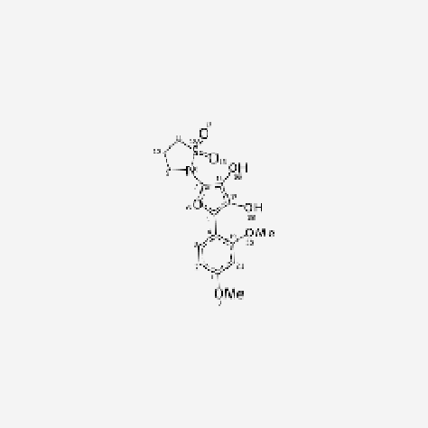 COc1ccc(-c2oc(N3CCCS3(=O)=O)c(O)c2O)c(OC)c1